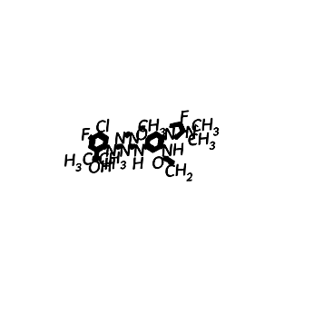 C=CC(=O)Nc1cc(Nc2ncnc(Nc3cc(Cl)c(F)cc3C(C)(C)O)n2)c(OC)cc1N1C[C@@H](F)[C@@H](N(C)C)C1